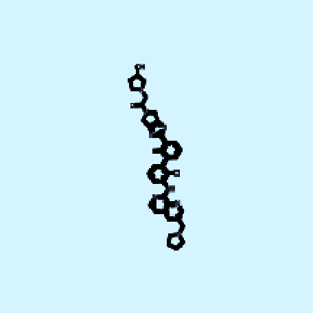 Cc1c(-c2nc3c(s2)CN(C(=O)CN2CC[C@H](O)C2)C3)cccc1-c1cccc(Nc2nccc3cc(CN4CCCC4)cnc23)c1Cl